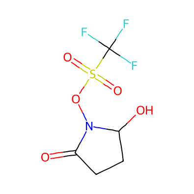 O=C1CCC(O)N1OS(=O)(=O)C(F)(F)F